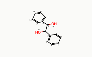 OC(c1cc[c]cc1)C(O)c1ccccc1